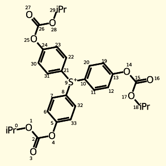 CC(C)OC(=O)Oc1ccc([S+](c2ccc(OC(=O)OC(C)C)cc2)c2ccc(OC(=O)OC(C)C)cc2)cc1